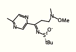 CON(C)CC/C(=N\[S@+]([O-])C(C)(C)C)c1cnc(C)cn1